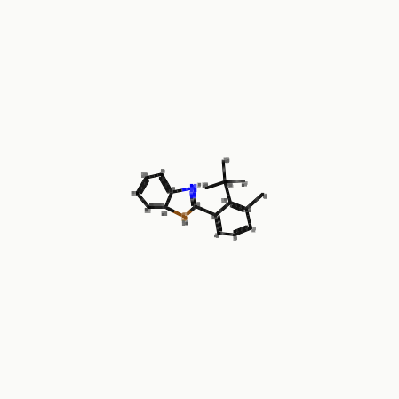 Cc1cccc(-c2nc3ccccc3s2)c1C(C)(C)C